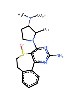 CN(C(=O)O)[C@@H]1CCN(c2nc(N)nc3c2[S+]([O-])CCc2ccccc2-3)C1C(C)(C)C